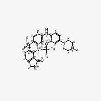 CN1CCN(c2ccc(Nc3ncc(C(F)(F)F)c(Nc4cccc5c4C(=O)NC5)n3)c(OC(F)(F)F)c2)CC1